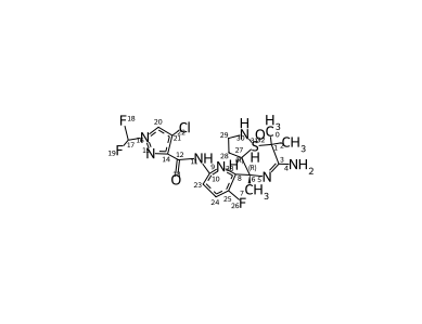 CC1(C)C(N)=N[C@](C)(c2nc(NC(=O)c3nn(C(F)F)cc3Cl)ccc2F)[C@H]2CCN[SH]21=O